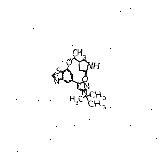 C[C@@H](Oc1cc(-c2cnn(C(C)(C)C)c2)cc2ncsc12)C1CNC(=O)C1